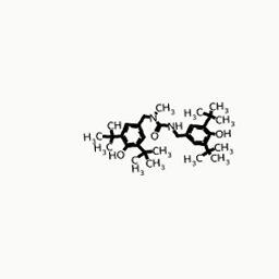 CN(Cc1cc(C(C)(C)C)c(O)c(C(C)(C)C)c1)C(=O)NCc1cc(C(C)(C)C)c(O)c(C(C)(C)C)c1